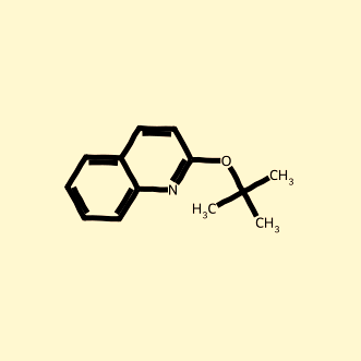 CC(C)(C)Oc1ccc2ccccc2n1